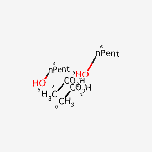 CC(=O)O.CC(=O)O.CCCCCO.CCCCCO